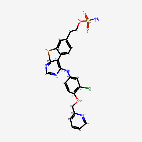 NS(=O)(=O)OCCc1ccc2c(c1)sc1ncnc(Nc3ccc(OCc4ccccn4)c(Cl)c3)c12